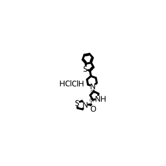 Cl.Cl.O=C([C@@H]1C[C@H](N2CCC(c3cc4ccccc4s3)CC2)CN1)N1CCSC1